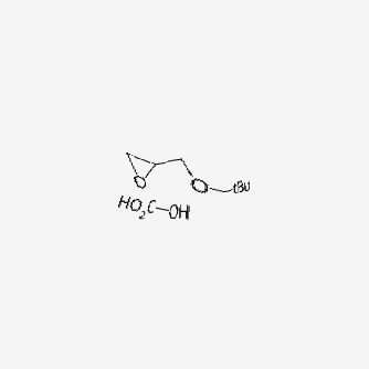 CC(C)(C)OCC1CO1.O=C(O)O